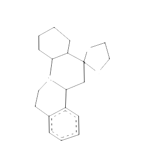 c1ccc2c(c1)CCN1C2CC2(SCCS2)C2CCCCC21